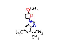 COC1C=CC(n2cnc3c(C(C)C)cc(C)cc32)O1